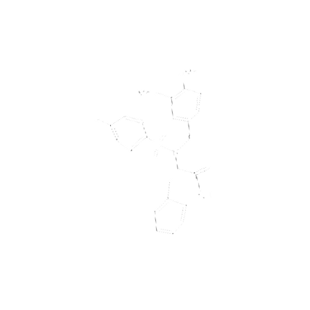 COc1ccc(CN(C(Cc2ccccc2)C(N)=O)S(=O)(=O)c2ccc(Cl)cc2)cc1OC